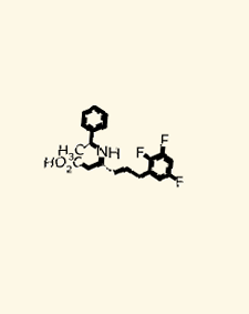 C[C@@H](N[C@H](CCCc1cc(F)cc(F)c1F)CC(=O)O)c1ccccc1